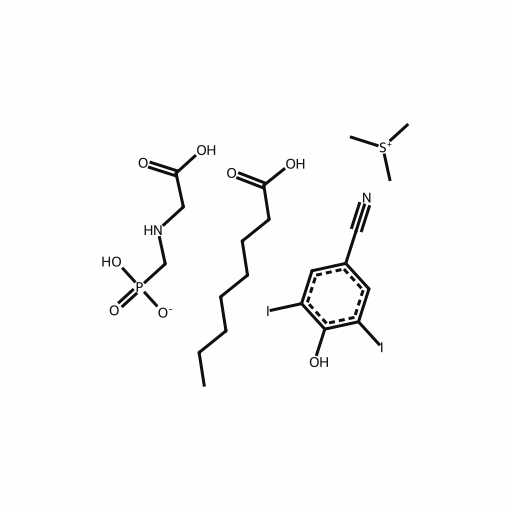 CCCCCCCC(=O)O.C[S+](C)C.N#Cc1cc(I)c(O)c(I)c1.O=C(O)CNCP(=O)([O-])O